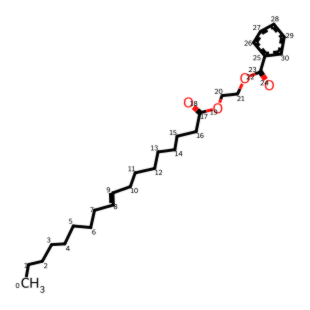 CCCCCCCCC=CCCCCCCCC(=O)OCCOC(=O)c1ccccc1